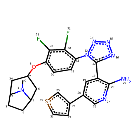 CN1C2CCC1CC(Oc1ccc(-n3nnnc3-c3cc(-c4ccsc4)cnc3N)c(F)c1F)C2